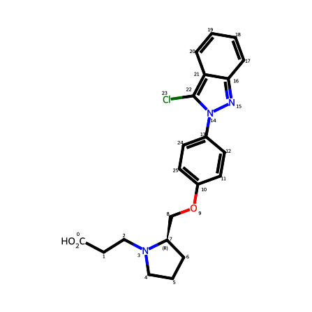 O=C(O)CCN1CCC[C@@H]1COc1ccc(-n2nc3ccccc3c2Cl)cc1